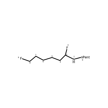 CCCCCNC(F)CCCCCF